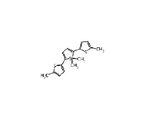 Cc1ccc(C2=CC=C(c3ccc(C)s3)[Si]2(C)C)s1